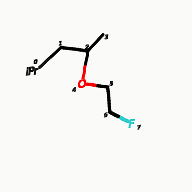 CC(C)CC(C)OCCF